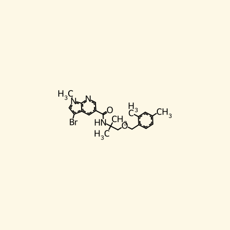 Cc1ccc(COCC(C)(C)NC(=O)c2cnc3c(c2)c(Br)cn3C)c(C)c1